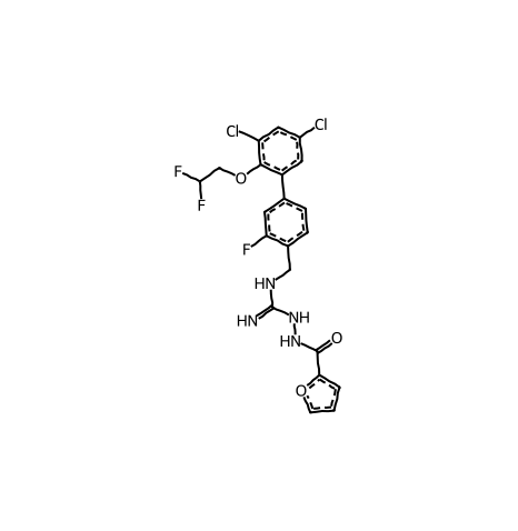 N=C(NCc1ccc(-c2cc(Cl)cc(Cl)c2OCC(F)F)cc1F)NNC(=O)c1ccco1